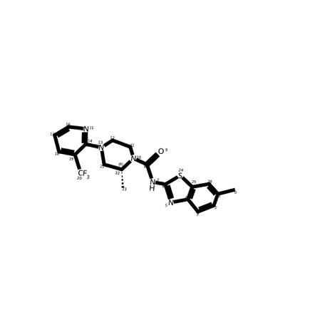 Cc1ccc2nc(NC(=O)N3CCN(c4ncccc4C(F)(F)F)C[C@H]3C)sc2c1